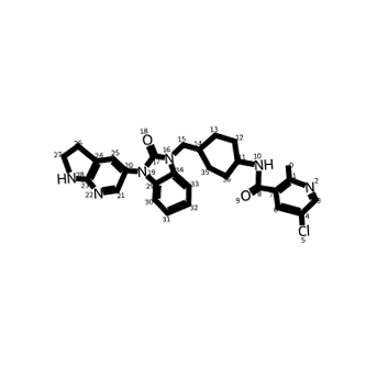 Cc1ncc(Cl)cc1C(=O)NC1CCC(Cn2c(=O)n(-c3cnc4c(c3)CCN4)c3ccccc32)CC1